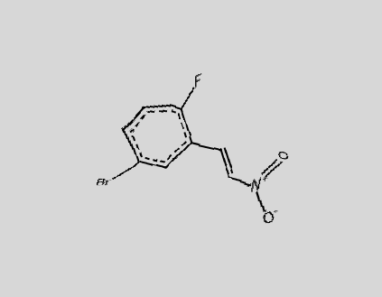 O=[N+]([O-])/C=C/c1cc(Br)ccc1F